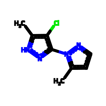 Cc1[nH]nc(-n2nccc2C)c1Cl